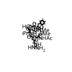 CNC(=O)[C@H](Cc1ccccc1)N(C)C(=O)[C@H](CO)NC(=O)[C@@H](NC(=O)[C@H](CCCNC(=N)N)NC(=O)[C@H](CSC)NC(C)=O)C(C)C